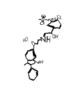 Cc1c(-c2ccccc2)[nH]c2cc(OCCNCC(O)c3ccc(Cl)c(NS(C)(=O)=O)c3)ccc12.Cl